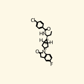 CCC(NC(=O)c1ccc(Cl)cc1)[C@H]1[C@@H]2C[C@@H](N3C(=O)Cc4cc(F)ccc43)C[C@@H]21